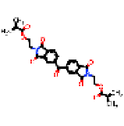 C=C(C)C(=O)OCCN1C(=O)c2ccc(C(=O)c3ccc4c(c3)C(=O)N(CCOC(=O)C(=C)C)C4=O)cc2C1=O